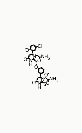 COc1ccc(Cl)cc1-c1cc(=O)[nH]c(=S)n1CC(N)=O.COc1ccc(OC)c(-c2cc(=O)[nH]c(=S)n2CC(N)=O)c1